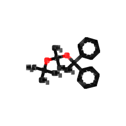 C[Si](C)(C)O[Si](C)(C)O[Si](C)(c1ccccc1)c1ccccc1